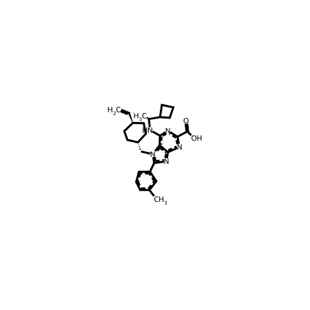 C=C[C@H]1CC[C@H](Cn2c(-c3cccc(C)c3)nc3nc(C(=O)O)nc(N[C@H](C)C4CCC4)c32)CC1